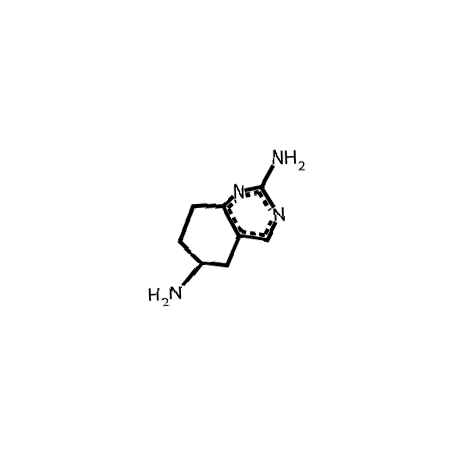 Nc1ncc2c(n1)CCC(N)C2